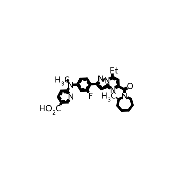 CCc1cc(C(=O)N2CCCCC[C@H]2C)nc2cc(-c3ccc(N(C)c4ccc(C(=O)O)cn4)cc3F)nn12